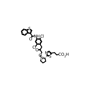 O=C(O)CCc1cnc([C@@H]2CCCN2OCC(=O)Cc2cc(Cl)c(NC(=O)c3csc4ccccc34)cc2Cl)s1